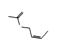 C/C=C\CNC(C)=O